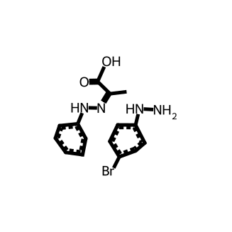 CC(=NNc1ccccc1)C(=O)O.NNc1ccc(Br)cc1